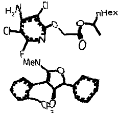 CCCCCCC(C)OC(=O)COc1nc(F)c(Cl)c(N)c1Cl.CNC1=C(c2ccccc2C(F)(F)F)C(=O)C(c2ccccc2)O1